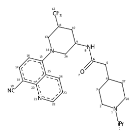 CC(C)N1CCC(CC(=O)NC2CC(C(F)(F)F)CN(c3ccc(C#N)c4ncccc34)C2)CC1